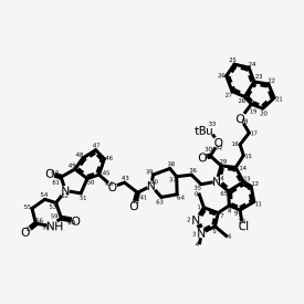 Cc1nn(C)c(C)c1-c1c(Cl)ccc2c(CCCOc3cccc4ccccc34)c(C(=O)OC(C)(C)C)n(CCC3CCN(C(=O)COc4cccc5c4CN(C4CCC(=O)NC4=O)C5=O)CC3)c12